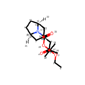 CCOC(=O)C[C@H]1C[C@H]2CC[C@@H](C1)N2C(=O)OC(C)(C)C